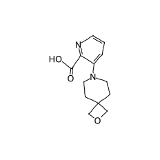 O=C(O)c1ncccc1N1CCC2(CC1)COC2